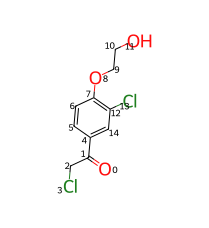 O=C(CCl)c1ccc(OCCO)c(Cl)c1